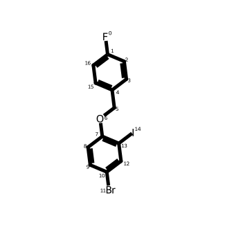 Fc1ccc(COc2ccc(Br)cc2I)cc1